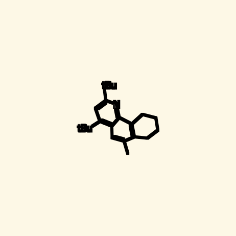 Cc1cc2c(C(C)(C)C)cc(C(C)(C)C)nc2c2c1CCCC2